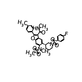 CNC(=O)c1c(-c2ccc(C)cc2)oc2cc(N(C)S(C)(=O)=O)c([C@@H]3CCCN(S(=O)(=O)c4ccc(F)cc4)C3)cc12